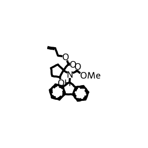 C=CCOC(=O)C1(N(C(=O)OC)C2c3ccccc3-c3ccccc32)CCCC1O